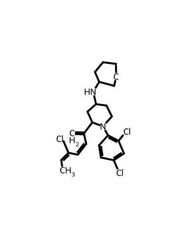 C=C(/C=C\C(Cl)=C/C)C1CC(NC2CCCCC2)CCN1c1ccc(Cl)cc1Cl